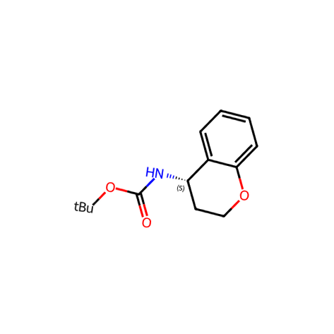 CC(C)(C)OC(=O)N[C@H]1CCOc2ccccc21